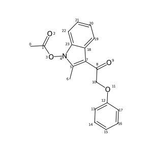 CC(=O)On1c(C)c(C(=O)COc2ccccc2)c2ccccc21